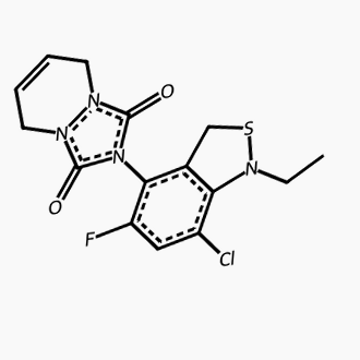 CCN1SCc2c1c(Cl)cc(F)c2-n1c(=O)n2n(c1=O)CC=CC2